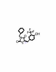 O=C1S/C(=C/c2ccc(O)c(C(F)(F)F)c2)C(=O)N1Cc1ccccc1